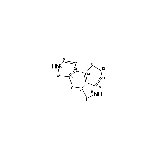 C1=CC2=C(CN1)CC1CNC3=CCCC2=C31